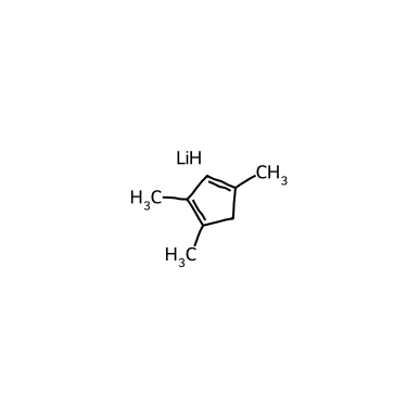 CC1=CC(C)=C(C)C1.[LiH]